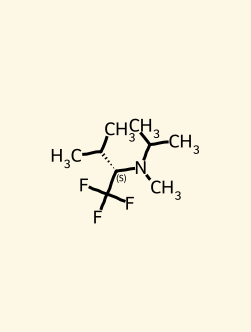 CC(C)[C@H](N(C)C(C)C)C(F)(F)F